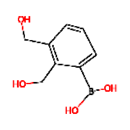 OCc1cccc(B(O)O)c1CO